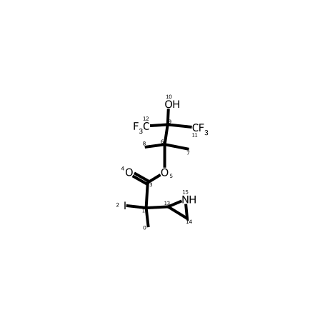 CC(I)(C(=O)OC(C)(C)C(O)(C(F)(F)F)C(F)(F)F)C1CN1